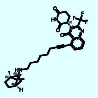 CC1(C)[C@@H]2CC[C@@]1(C)[C@@H](NCCCCCCC#Cc1cccc3nc(C(F)(F)F)n([C@H]4CCC(=O)NC4=O)c(=O)c13)C2